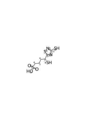 O=S(=O)(O)CCCC(S)c1nc(S)ns1